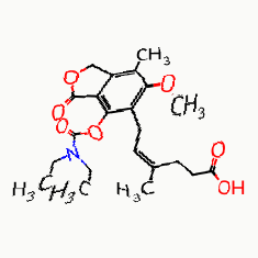 CCN(CC)C(=O)Oc1c(CC=C(C)CCC(=O)O)c(OC)c(C)c2c1C(=O)OC2